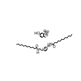 CCCCCCCCCCCC(=O)NCCn1cc[n+](CCNC(=O)CCCCCCCCCCC)c1.Cc1ccc(O)cc1S(=O)(=O)[O-]